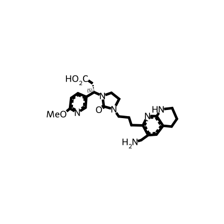 COc1ccc([C@H](CC(=O)O)N2CCN(CCCc3nc4c(cc3CN)CCCN4)C2=O)cn1